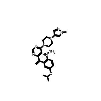 C=C(c1cc(N2CCN(c3cnn(C)c3)CC2)ncn1)c1cc(OC(C)C)ccc1NN